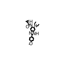 CCN(CC)c1cc2[nH]c(-c3ccc(OC)cc3)nc2cc1NC(=O)C1CC1